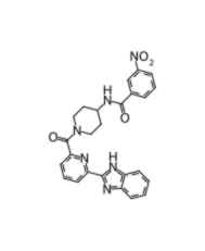 O=C(NC1CCN(C(=O)c2cccc(-c3nc4ccccc4[nH]3)n2)CC1)c1cccc([N+](=O)[O-])c1